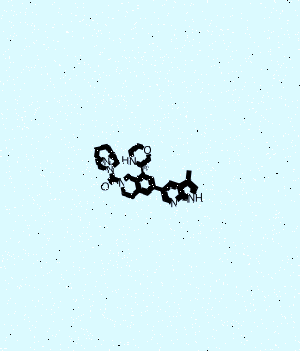 Cc1c[nH]c2ncc(-c3cc4c(c([C@@H]5COCCN5)c3)CN(C(=O)N3CC5CCC(C3)N5C)CC4)cc12